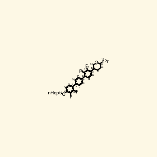 CCCCCCCOc1ccc(-c2ccc(-c3ccc(C4CCC(CCC)OC4)c(F)c3F)cc2)c(F)c1F